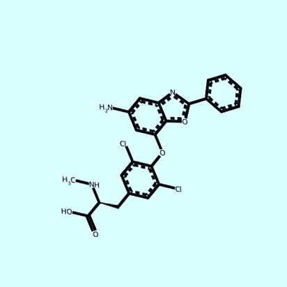 CN[C@@H](Cc1cc(Cl)c(Oc2cc(N)cc3nc(-c4ccccc4)oc23)c(Cl)c1)C(=O)O